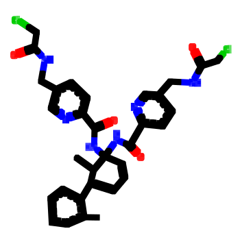 Cc1ccccc1C1=CC=CC(NC(=O)c2ccc(CNC(=O)CCl)cn2)(NC(=O)c2ccc(CNC(=O)CCl)cn2)C1C